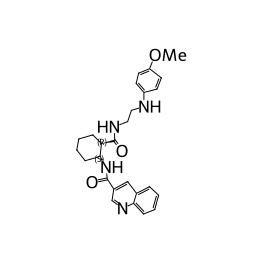 COc1ccc(NCCNC(=O)[C@@H]2CCCC[C@@H]2NC(=O)c2cnc3ccccc3c2)cc1